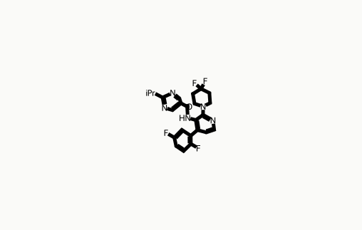 CC(C)c1ncc(C(=O)Nc2c(-c3cc(F)ccc3F)ccnc2N2CCC(F)(F)CC2)cn1